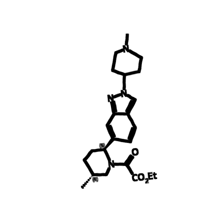 CCOC(=O)C(=O)N1C[C@H](C)CC[C@H]1c1ccc2cn(C3CCN(C)CC3)nc2c1